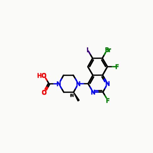 C[C@H]1CN(C(=O)O)CCN1c1nc(F)nc2c(F)c(Br)c(I)cc12